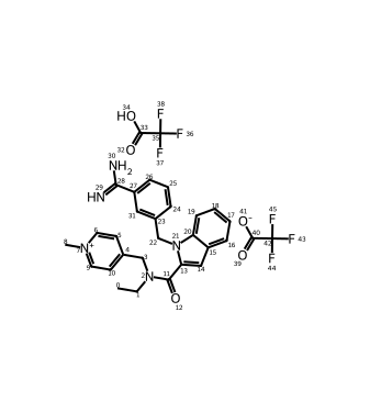 CCN(Cc1cc[n+](C)cc1)C(=O)c1cc2ccccc2n1Cc1cccc(C(=N)N)c1.O=C(O)C(F)(F)F.O=C([O-])C(F)(F)F